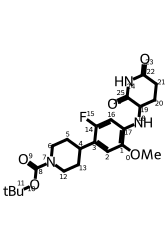 COc1cc(C2CCN(C(=O)OC(C)(C)C)CC2)c(F)cc1NC1CCC(=O)NC1=O